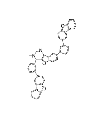 CN1C=Nc2c(oc3ccc(-c4cccc(-c5ccc6oc7ccccc7c6c5)c4)cc23)C1c1cccc(-c2ccc3oc4ccccc4c3c2)c1